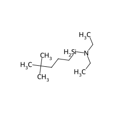 CCN(CC)[SiH2]CCCC(C)(C)C